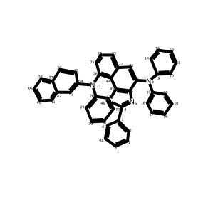 c1ccc(-c2nc3c(N(c4ccccc4)c4ccccc4)cc4cccc(N(c5ccccc5)c5ccc6ccccc6c5)c4c3o2)cc1